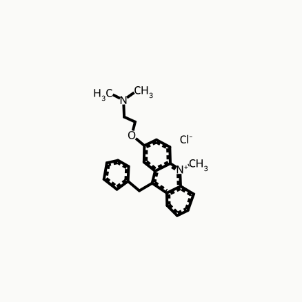 CN(C)CCOc1ccc2c(c1)c(Cc1ccccc1)c1ccccc1[n+]2C.[Cl-]